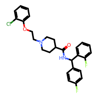 O=C(NC(c1ccc(F)cc1)c1ccccc1F)C1CCN(CCOc2ccccc2Cl)CC1